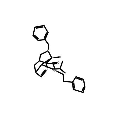 CC(C)CC1C2C=NC3(C(=O)NCCc4ccccc4)C(C2)CN(Cc2ccccc2)[C@@H]13